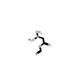 CN(C)CC(=O)OC=S